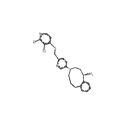 N[C@@H]1CC[C@H](c2ccc(CSc3ccnc(Cl)c3Cl)nc2)CCCc2ccccc21